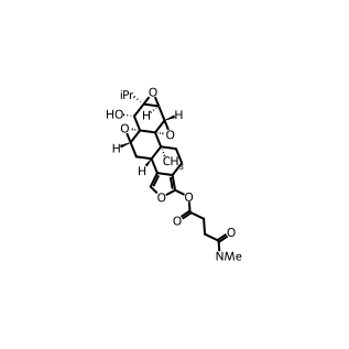 CNC(=O)CCC(=O)Oc1occ2c1CC[C@@]1(C)[C@H]2C[C@@H]2O[C@@]23[C@H](O)[C@@]2(C(C)C)O[C@H]2[C@@H]2O[C@@]231